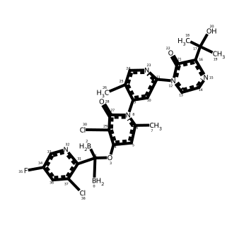 BC(B)(Oc1cc(C)n(-c2cc(-n3ccnc(C(C)(C)O)c3=O)ncc2C)c(=O)c1Cl)c1ncc(F)cc1Cl